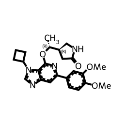 COc1ccc(-c2cc3ncn(C4CCC4)c3c(O[C@H](C)[C@H]3CNC(=O)C3)n2)cc1OC